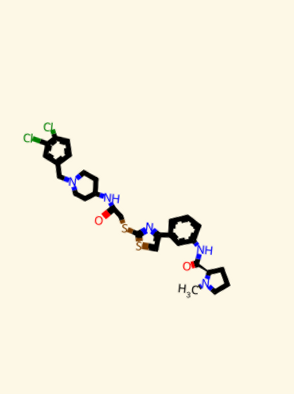 CN1CCC[C@@H]1C(=O)Nc1cccc(-c2csc(SCC(=O)NC3CCN(Cc4ccc(Cl)c(Cl)c4)CC3)n2)c1